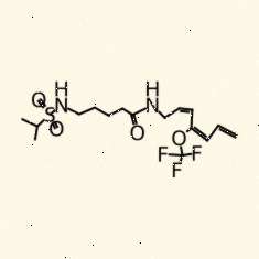 C=C/C=C(\C=C/CNC(=O)CCCCNS(=O)(=O)C(C)C)OC(F)(F)F